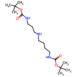 CC(C)(C)OC(=O)NCCCCNCCCNC(=O)OC(C)(C)C